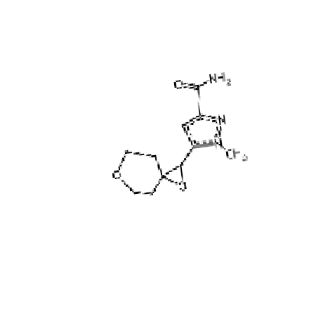 Cn1nc(C(N)=O)cc1C1OC12CCOCC2